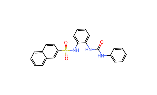 O=C(Nc1ccccc1)Nc1ccccc1NS(=O)(=O)c1ccc2ccccc2c1